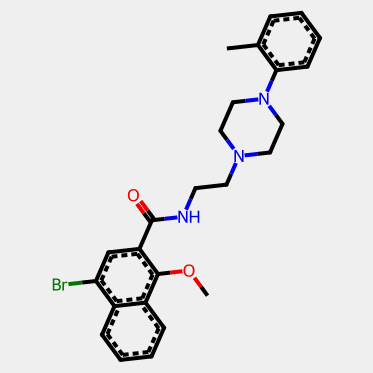 COc1c(C(=O)NCCN2CCN(c3ccccc3C)CC2)cc(Br)c2ccccc12